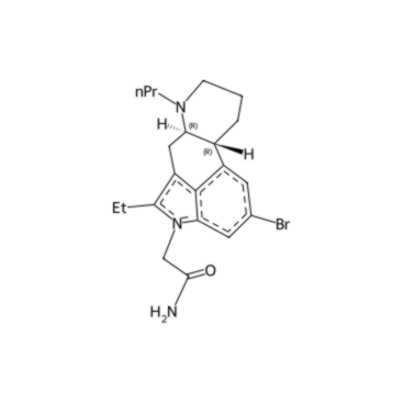 CCCN1CCC[C@@H]2c3cc(Br)cc4c3c(c(CC)n4CC(N)=O)C[C@H]21